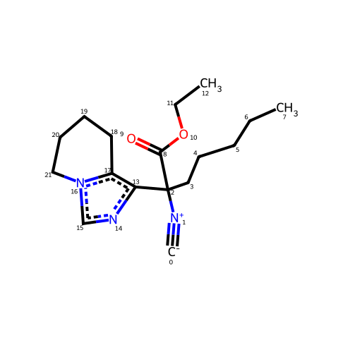 [C-]#[N+]C(CCCCC)(C(=O)OCC)c1ncn2c1CCCC2